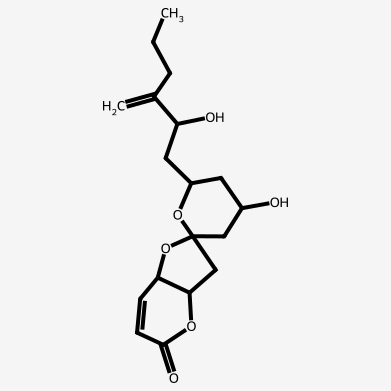 C=C(CCC)C(O)CC1CC(O)CC2(CC3OC(=O)C=CC3O2)O1